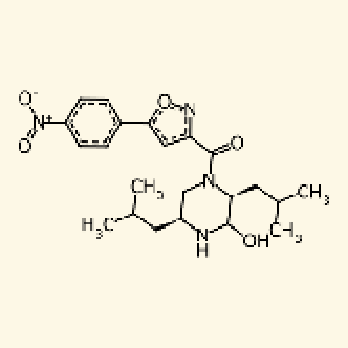 CC(C)C[C@H]1CN(C(=O)c2cc(-c3ccc([N+](=O)[O-])cc3)on2)[C@@H](CC(C)C)C(O)N1